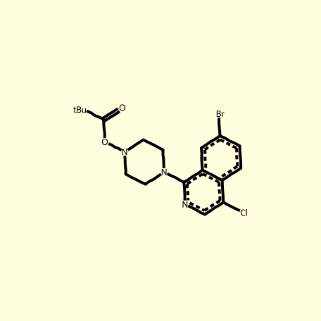 CC(C)(C)C(=O)ON1CCN(c2ncc(Cl)c3ccc(Br)cc23)CC1